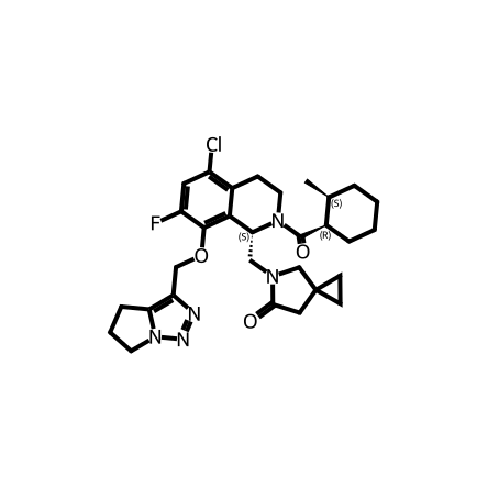 C[C@H]1CCCC[C@H]1C(=O)N1CCc2c(Cl)cc(F)c(OCc3nnn4c3CCC4)c2[C@H]1CN1CC2(CC2)CC1=O